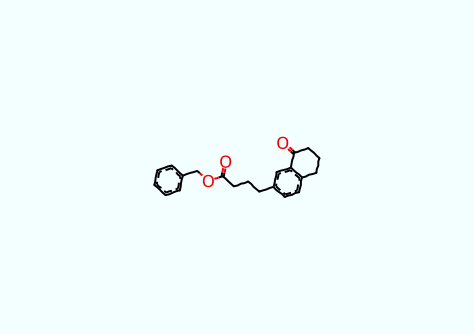 O=C(CCCc1ccc2c(c1)C(=O)CCC2)OCc1ccccc1